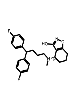 CN(CCCC(c1ccc(F)cc1)c1ccc(F)cc1)[C@H]1CCCc2onc(O)c21